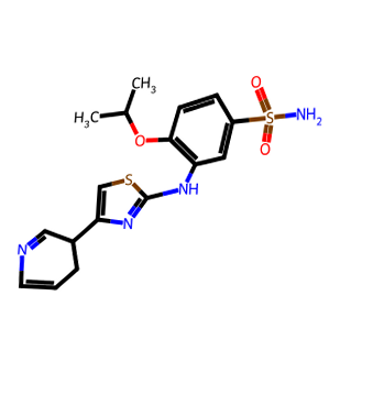 CC(C)Oc1ccc(S(N)(=O)=O)cc1Nc1nc(C2C=NC=CC2)cs1